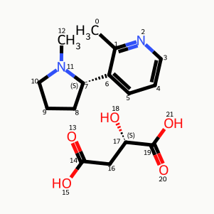 Cc1ncccc1[C@@H]1CCCN1C.O=C(O)C[C@H](O)C(=O)O